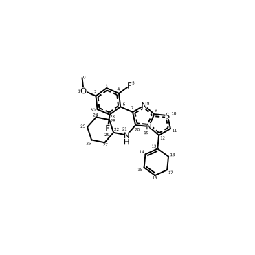 COc1cc(F)c(-c2nc3scc(C4=CC=CCC4)n3c2NC2CCCCC2)c(F)c1